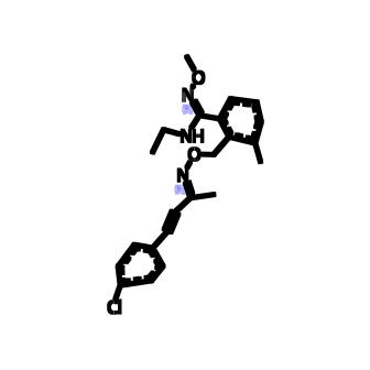 CCN/C(=N/OC)c1cccc(C)c1CO/N=C(\C)C#Cc1ccc(Cl)cc1